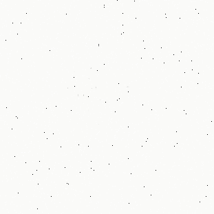 OCCCCC1(c2ccc(F)cc2)OCCO1